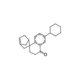 O=C1CCC2(CC3=CCC2C3)c2ccc(C3CCCCC3)cc21